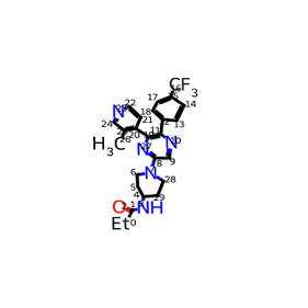 CCC(=O)NC1CCN(c2cnc(-c3ccc(C(F)(F)F)cc3)c(-c3ccncc3C)n2)CC1